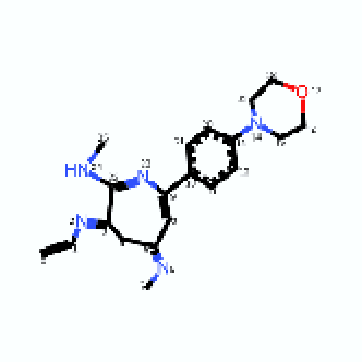 C=C/N=C1\C/C(=N\C)C=C(c2ccc(N3CCOCC3)cc2)N=C1NC